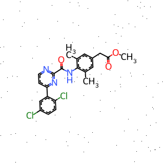 COC(=O)Cc1cc(C)c(NC(=O)c2nccc(-c3cc(Cl)ccc3Cl)n2)c(C)c1